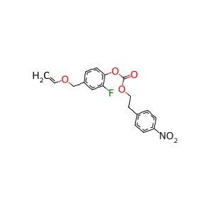 C=COCc1ccc(OC(=O)OCCc2ccc([N+](=O)[O-])cc2)c(F)c1